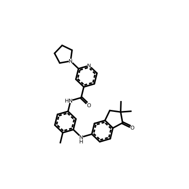 Cc1ccc(NC(=O)c2ccnc(N3CCCC3)c2)cc1Nc1ccc2c(c1)CC(C)(C)C2=O